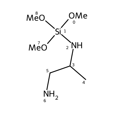 CO[Si](NC(C)CN)(OC)OC